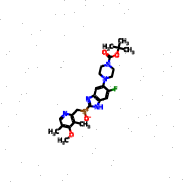 COc1c(C)cnc(C[S+]([O-])c2nc3cc(N4CCN(C(=O)OC(C)(C)C)CC4)c(F)cc3[nH]2)c1C